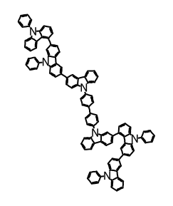 c1ccc(-n2c3ccccc3c3cc(-c4ccc5c(c4)c4c(-c6ccc7c8ccccc8n(-c8ccc(-c9ccc(-n%10c%11ccccc%11c%11cc(-c%12ccc%13c(c%12)c%12ccc(-c%14cccc%15c%14c%14ccccc%14n%15-c%14ccccc%14)cc%12n%13-c%12ccccc%12)ccc%11%10)cc9)cc8)c7c6)cccc4n5-c4ccccc4)ccc32)cc1